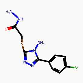 NNC(=O)CSc1nnc(-c2ccc(Br)cc2)n1N